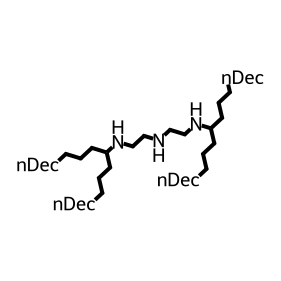 CCCCCCCCCCCCCC(CCCCCCCCCCCCC)NCCNCCNC(CCCCCCCCCCCCC)CCCCCCCCCCCCC